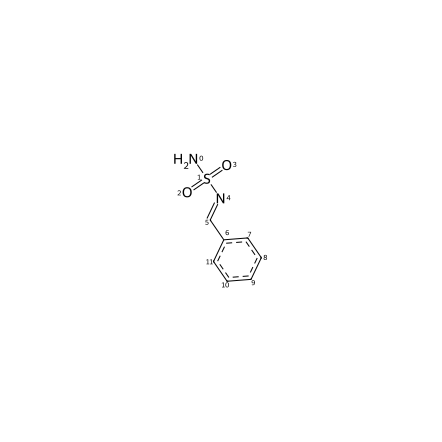 NS(=O)(=O)N=Cc1ccccc1